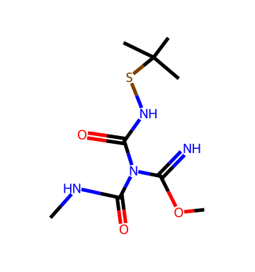 CNC(=O)N(C(=N)OC)C(=O)NSC(C)(C)C